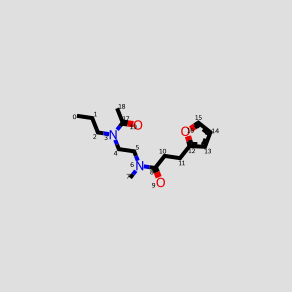 CCCN(CCN(C)C(=O)CCc1ccco1)C(C)=O